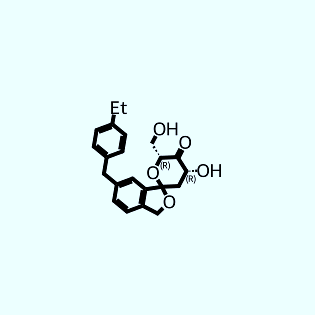 CCc1ccc(Cc2ccc3c(c2)C2(C[C@@H](O)C(=O)[C@@H](CO)O2)OC3)cc1